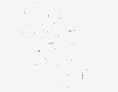 c1ccc(-c2cc([Si](c3ccccc3)(c3ccccc3)c3ccccc3)cc(-c3ccccc3)c2-n2c3ccccc3c3c(-n4c5ccccc5c5ccccc54)cccc32)cc1